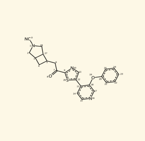 N#CN1CC2CC(CC(=O)c3ncc(-c4ccncc4Oc4ccccc4)s3)C2C1